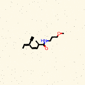 C#CC(/C=C\C(C)C(=O)NCCCOC)=C/C